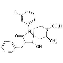 C[C@H]1C[C@]2(CCN1C(=O)O)C(O)C(Cc1ccccc1)C(=O)N2c1cccc(F)c1